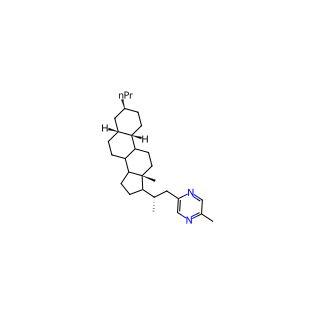 CCC[C@H]1CC[C@@H]2C3CC[C@@]4(C)C(CCC4[C@@H](C)Cc4cnc(C)cn4)C3CC[C@@H]2C1